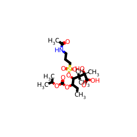 CCC(OC(=O)OC(C)C)C(OS(=O)(=O)CCCNC(C)=O)C(C)(C)[C@@](C)(O)C(=O)O